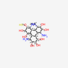 Bc1c(O)c(O)c(N)c2c1c1c(N)c(OS)c(O)c(O)c1c1c(N)c(O)c(O)c(O)c21